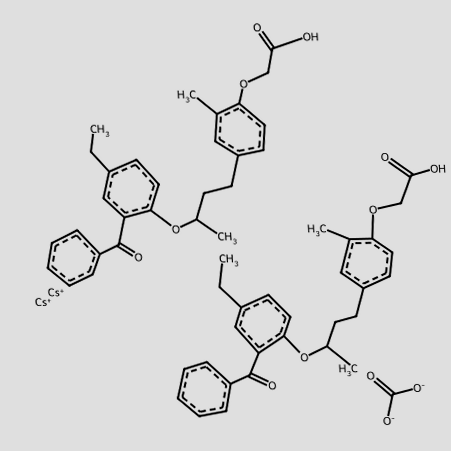 CCc1ccc(OC(C)CCc2ccc(OCC(=O)O)c(C)c2)c(C(=O)c2ccccc2)c1.CCc1ccc(OC(C)CCc2ccc(OCC(=O)O)c(C)c2)c(C(=O)c2ccccc2)c1.O=C([O-])[O-].[Cs+].[Cs+]